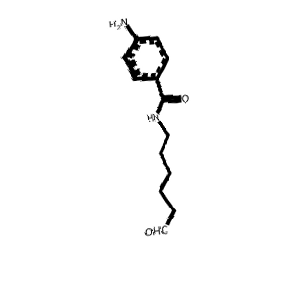 Nc1ccc(C(=O)NCCCCCC=O)cc1